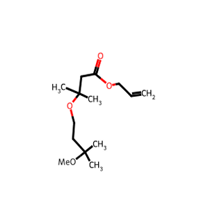 C=CCOC(=O)CC(C)(C)OCCC(C)(C)OC